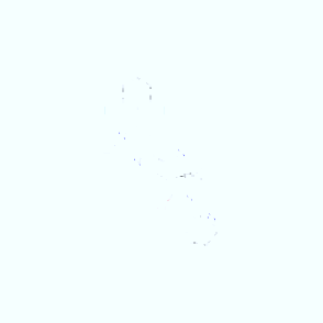 C#C[C@@]1(C(=O)N(C)c2ccccn2)CCN(C)C(/C=C(\N)c2c(F)cccc2F)=C1N